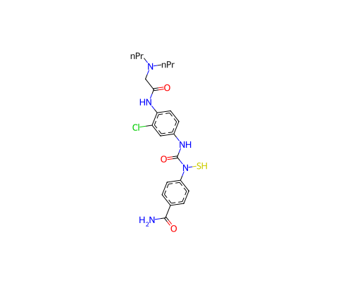 CCCN(CCC)CC(=O)Nc1ccc(NC(=O)N(S)c2ccc(C(N)=O)cc2)cc1Cl